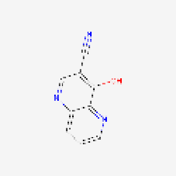 N#Cc1cnc2cccnc2c1O